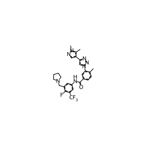 Cc1ccc(C(=O)Nc2cc(CN3CCCC3)c(F)c(C(F)(F)F)c2)cc1-n1cc(-c2cnn(C)c2C)nn1